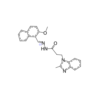 COc1ccc2ccccc2c1/C=N/NC(=O)CCn1c(C)nc2ccccc21